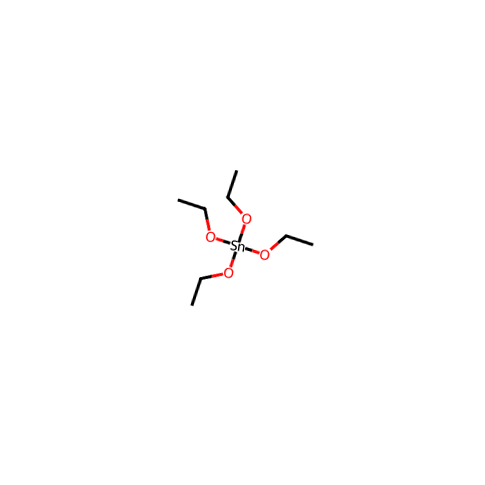 CC[O][Sn]([O]CC)([O]CC)[O]CC